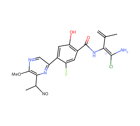 C=C(C)/C(NC(=O)c1cc(F)c(-c2cnc(OC)c(C(C)N=O)n2)cc1O)=C(\N)Cl